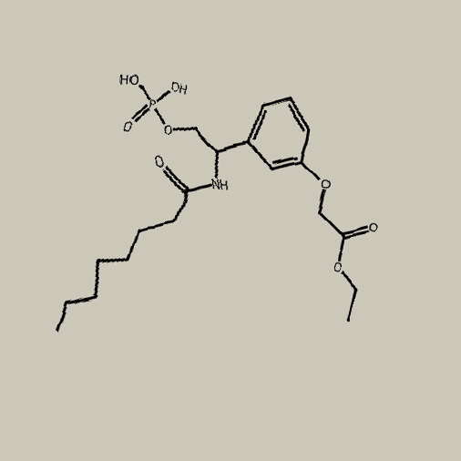 CCCCCCCC(=O)NC(COP(=O)(O)O)c1cccc(OCC(=O)OCC)c1